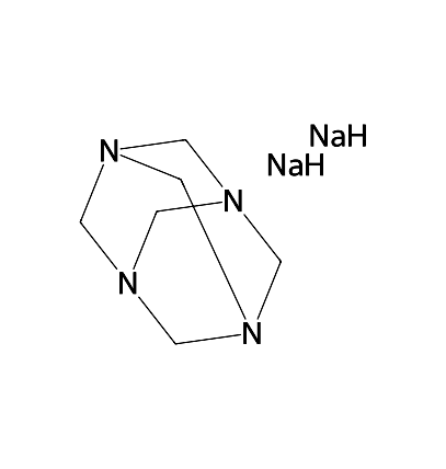 C1N2CN3CN1CN(C2)C3.[NaH].[NaH]